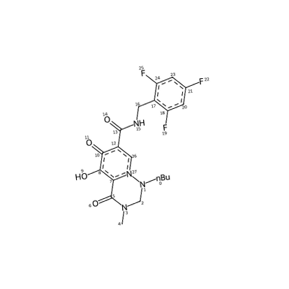 CCCCN1CN(C)C(=O)c2c(O)c(=O)c(C(=O)NCc3c(F)cc(F)cc3F)cn21